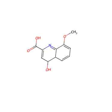 COC1=CC=CC2C1=NC(C(=O)O)=CC2O